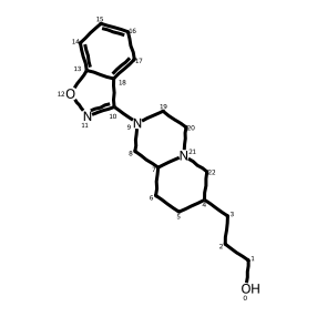 OCCCC1CCC2CN(c3noc4ccccc34)CCN2C1